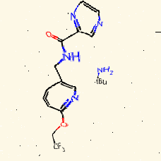 CC(C)(C)N.O=C(NCc1ccc(OCC(F)(F)F)nc1)c1cnccn1